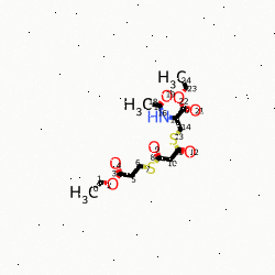 CCOC(=O)CCSC(=O)CC(=O)SCC(NC(C)=O)C(=O)OCC